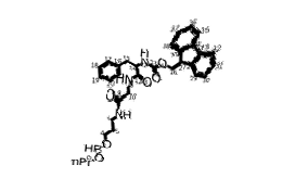 CCCOPOCCCNC(=O)CNC(=O)C(Cc1ccccc1)NC(=O)OCC1c2ccccc2-c2ccccc21